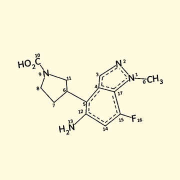 Cn1ncc2c(C3CCN(C(=O)O)C3)c(N)cc(F)c21